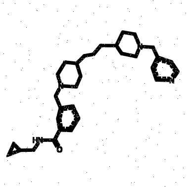 O=C(NCC1CC1)c1cccc(CN2CCC(CCCC3CCN(Cc4ccncc4)CC3)CC2)c1